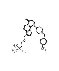 C[Si](C)(C)CCOCn1ccc2c1ncc1c(=O)ccn(C3CCN(Cc4ccc(C(F)(F)F)cc4)CC3)c12